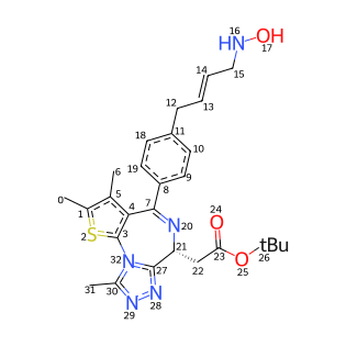 Cc1sc2c(c1C)C(c1ccc(C/C=C/CNO)cc1)=N[C@H](CC(=O)OC(C)(C)C)c1nnc(C)n1-2